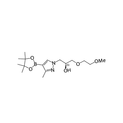 COCCOC[C@@H](O)Cn1cc(B2OC(C)(C)C(C)(C)O2)c(C)n1